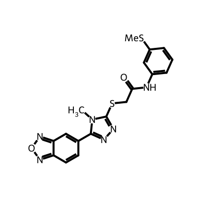 CSc1cccc(NC(=O)CSc2nnc(-c3ccc4nonc4c3)n2C)c1